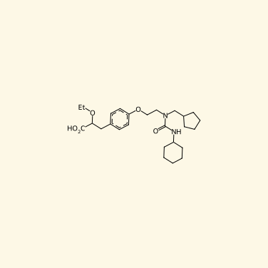 CCOC(Cc1ccc(OCCN(CC2CCCC2)C(=O)NC2CCCCC2)cc1)C(=O)O